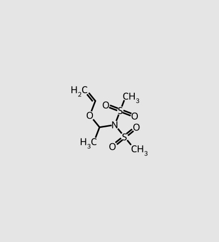 C=COC(C)N(S(C)(=O)=O)S(C)(=O)=O